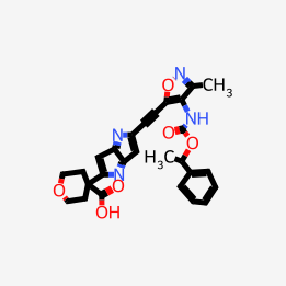 Cc1noc(C#CC2=CC3=NC(C4(C(=O)O)CCOCC4)=CC3=N2)c1NC(=O)OC(C)c1ccccc1